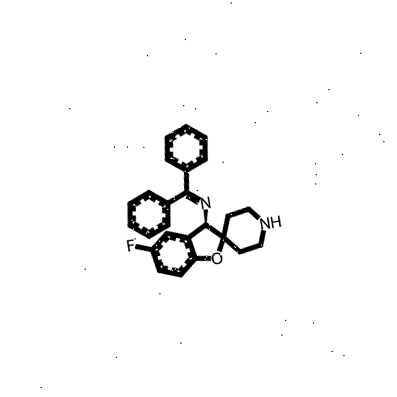 Fc1ccc2c(c1)[C@@H](N=C(c1ccccc1)c1ccccc1)C1(CCNCC1)O2